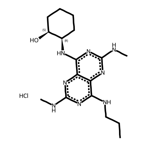 CCCNc1nc(NC)nc2c(N[C@@H]3CCCC[C@@H]3O)nc(NC)nc12.Cl